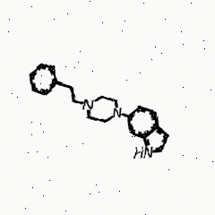 c1ccc(CCN2CCN(c3ccc4cc[nH]c4c3)CC2)cc1